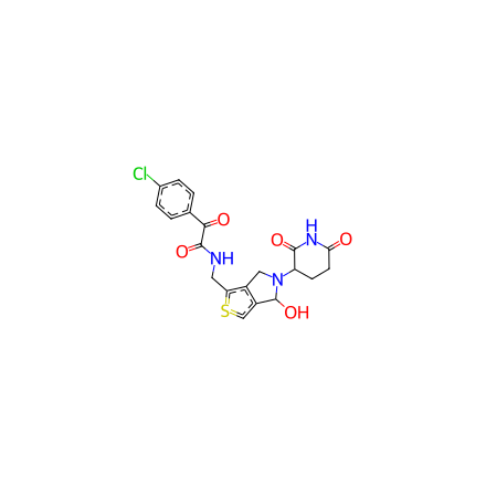 O=C1CCC(N2Cc3c(csc3CNC(=O)C(=O)c3ccc(Cl)cc3)C2O)C(=O)N1